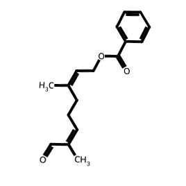 CC(C=O)=CCCC(C)=CCOC(=O)c1ccccc1